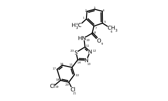 Cc1cccc(C)c1C(=O)Nc1nnc(-c2ccc(Cl)c(Cl)c2)s1